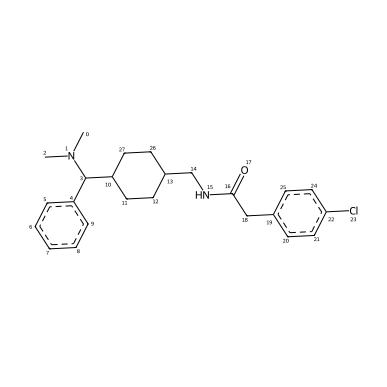 CN(C)C(c1ccccc1)C1CCC(CNC(=O)Cc2ccc(Cl)cc2)CC1